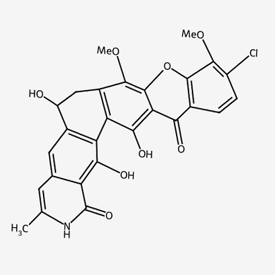 COc1c(Cl)ccc2c(=O)c3c(O)c4c(c(OC)c3oc12)CC(O)c1cc2cc(C)[nH]c(=O)c2c(O)c1-4